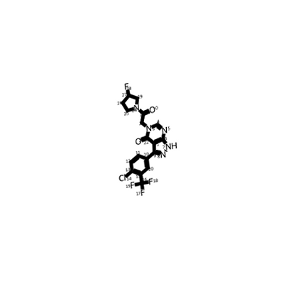 O=C(Cn1cnc2[nH]nc(-c3ccc(Cl)c(C(F)(F)F)c3)c2c1=O)N1CCC(F)C1